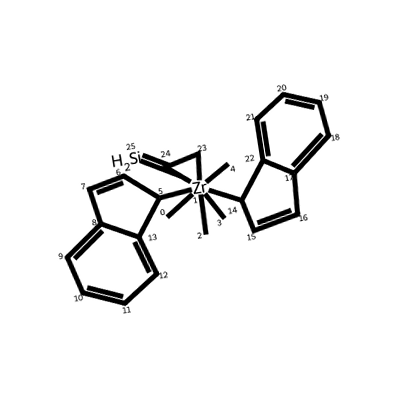 [CH3][Zr]1([CH3])([CH3])([CH3])([CH]2C=Cc3ccccc32)([CH]2C=Cc3ccccc32)[CH2][C]1=[SiH2]